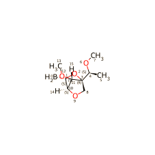 B[C@@H]1O[C@@]2([C@H](C)OC)CO[C@@H]1[C@@H]2OC